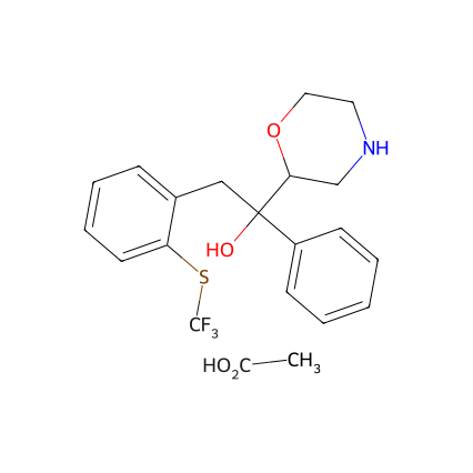 CC(=O)O.OC(Cc1ccccc1SC(F)(F)F)(c1ccccc1)C1CNCCO1